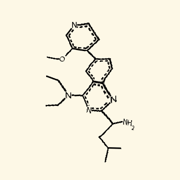 CCN(CC)c1nc(C(N)CC(C)C)nc2ccc(-c3ccncc3OC)cc12